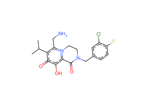 CC(C)c1c(CN)n2c(c(O)c1=O)C(=O)N(Cc1ccc(F)c(Cl)c1)CC2